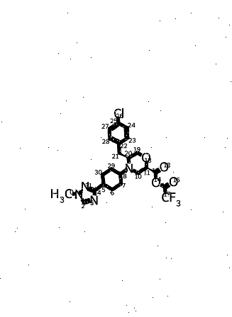 Cn1cnc(C2CCC(N3C[C@H](C(=O)OC(=O)C(F)(F)F)OC[C@@H]3Cc3ccc(Cl)cc3)CC2)n1